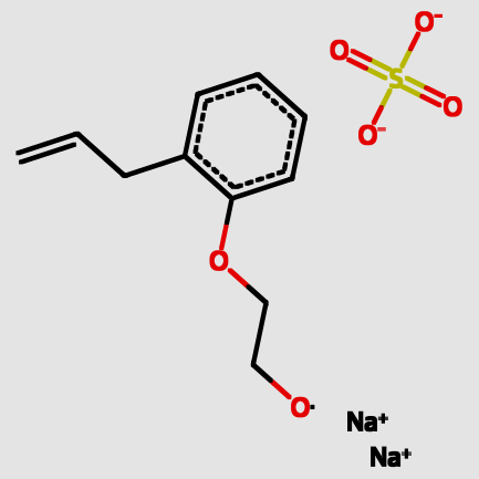 C=CCc1ccccc1OCC[O].O=S(=O)([O-])[O-].[Na+].[Na+]